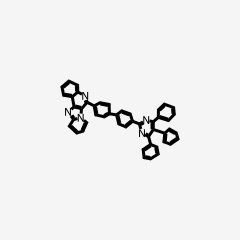 c1ccc(-c2nc(-c3ccc(-c4ccc(-c5nc6ccccc6c6nc7ccccn7c56)cc4)cc3)nc(-c3ccccc3)c2-c2ccccc2)cc1